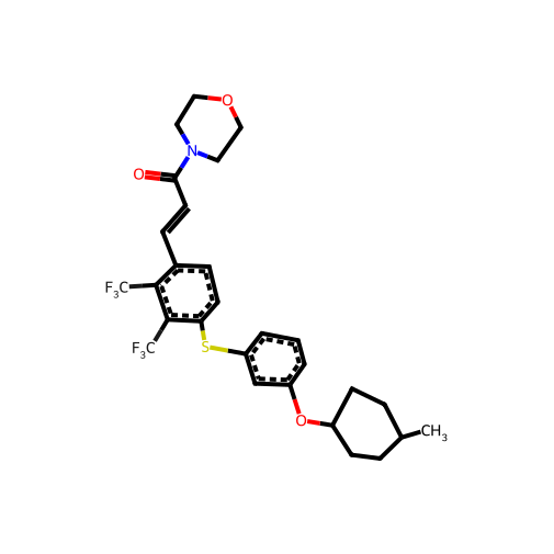 CC1CCC(Oc2cccc(Sc3ccc(C=CC(=O)N4CCOCC4)c(C(F)(F)F)c3C(F)(F)F)c2)CC1